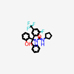 O=C(NC1CCCC1)NC(Cc1ccccc1)(c1cc(F)cc(C(F)(F)F)c1)c1ccccc1O